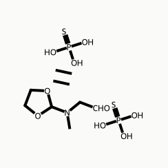 CC.CC.CN(CC=O)C1OCCO1.OP(O)(O)=S.OP(O)(O)=S